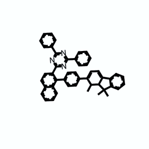 CC1C(c2ccc(-c3c(-c4nc(-c5ccccc5)nc(-c5ccccc5)n4)ccc4ccccc34)cc2)=CC=C2c3ccccc3C(C)(C)C21